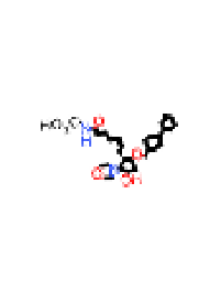 O=C(O)CNC(=O)CCC/C=C\C[C@@H]1[C@@H](N2CCOCC2)[C@H](O)C[C@@H]1OCc1ccc(-c2ccccc2)cc1